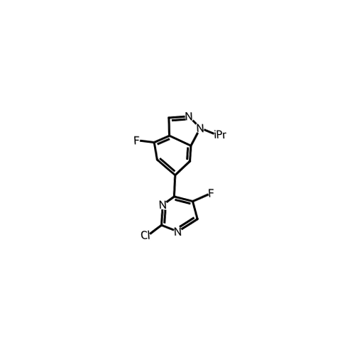 CC(C)n1ncc2c(F)cc(-c3nc(Cl)ncc3F)cc21